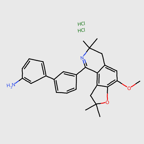 COc1cc2c(c3c1OC(C)(C)C3)C(c1cccc(-c3cccc(N)c3)c1)=NC(C)(C)C2.Cl.Cl